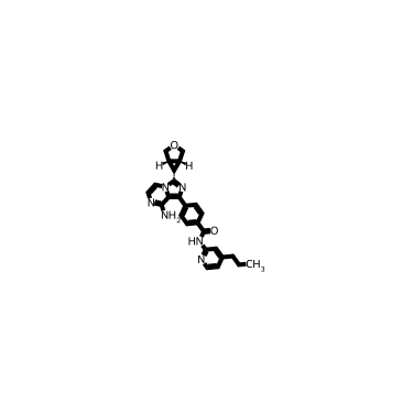 CCCc1ccnc(NC(=O)c2ccc(-c3nc([C@@H]4[C@@H]5COC[C@@H]54)n4ccnc(N)c34)cc2)c1